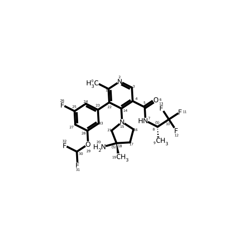 Cc1ncc(C(=O)N[C@@H](C)C(F)(F)F)c(N2CC[C@](C)(N)C2)c1-c1cc(F)cc(OC(F)F)c1